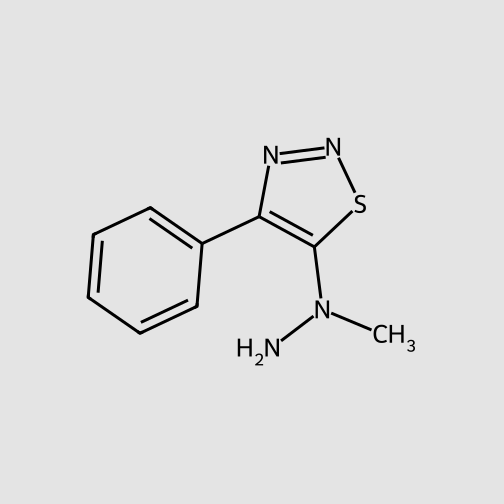 CN(N)c1snnc1-c1ccccc1